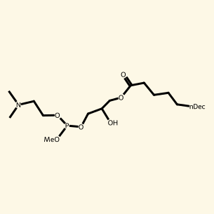 CCCCCCCCCCCCCCC(=O)OCC(O)COP(OC)OCCN(C)C